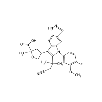 COc1cc(-n2c(C(C)(C)CC#N)c(C3CO[C@@](C)(C(=O)O)C3)c3nc4[nH]ncc4cc32)ccc1F